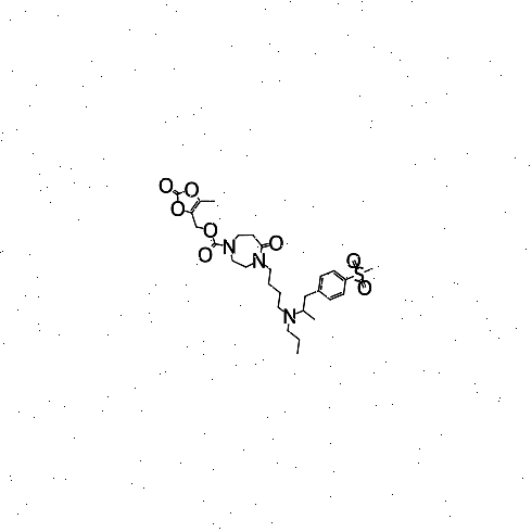 CCCN(CCCCN1CCN(C(=O)OCc2oc(=O)oc2C)CCC1=O)C(C)Cc1ccc(S(C)(=O)=O)cc1